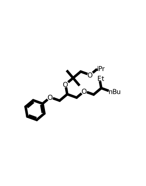 CCCCC(CC)COCC(COc1ccccc1)OC(C)(C)COC(C)C